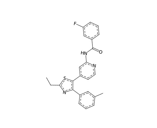 CCc1nc(-c2cccc(C)c2)c(-c2ccnc(NC(=O)c3cccc(F)c3)c2)s1